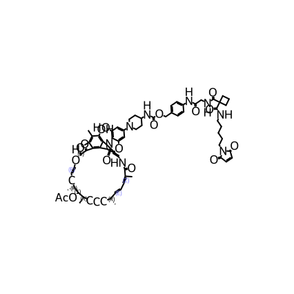 CC(=O)O[C@@H]1[C@H](C)C/C=C/O[C@H]2Oc3c(C)c(O)c4c(=O)c(c5oc6cc(N7CCC(NC(=O)OCc8ccc(NC(=O)CNC(=O)C9(C(=O)NCCCCCN%10C(=O)C=CC%10=O)CCC9)cc8)CC7)cc(O)c6nc-5c4c3C2=O)NC(=O)/C(C)=C\C=C\[C@H](C)CCC[C@H]1C